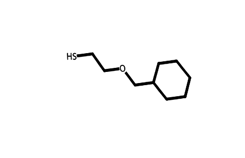 SCCOCC1CCCCC1